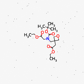 CCOC(=O)CN(CC1(CC(=O)OCC)COC1)C(=O)OC(C)(C)C